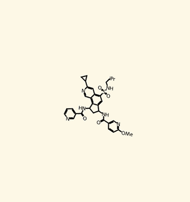 COc1ccc(C(=O)NC2CC(NC(=O)c3cccnc3)c3c2cc(S(=O)(=O)NCC(C)C)c2cc(C4CC4)ncc32)cn1